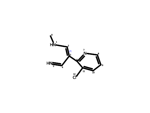 CN/C=C(\C=N)c1ncccc1Cl